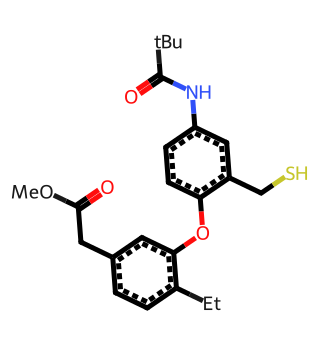 CCc1ccc(CC(=O)OC)cc1Oc1ccc(NC(=O)C(C)(C)C)cc1CS